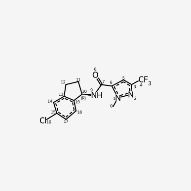 Cn1nc(C(F)(F)F)cc1C(=O)N[C@@H]1CCc2cc(Cl)ccc21